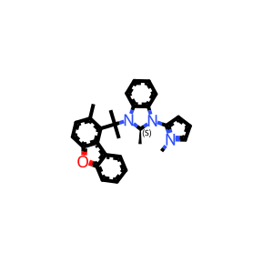 Cc1ccc2oc3ccccc3c2c1C(C)(C)N1c2ccccc2N(c2cccn2C)[C@H]1C